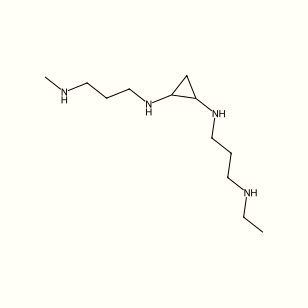 CCNCCCNC1CC1NCCCNC